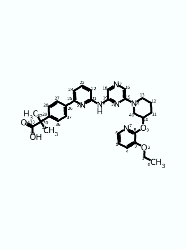 CCOc1cccnc1OC1CCCN(c2cncc(Nc3cccc(-c4ccc(C(C)(C)C(=O)O)cc4)n3)n2)C1